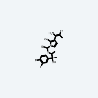 CC/C(C)=C(\N)c1ccn(C(CC)OC(C)[C@](C)(O)c2ccc(F)c(F)c2)c1C(C)CC